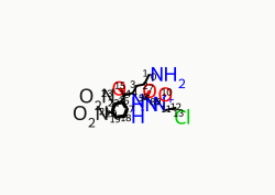 NCCCC(NC(=O)N[N+](=O)CCCl)C(=O)c1cccc([N+](=O)[O-])c1[N+](=O)[O-]